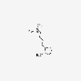 CC1CCCC1CCCC[SiH](C)C